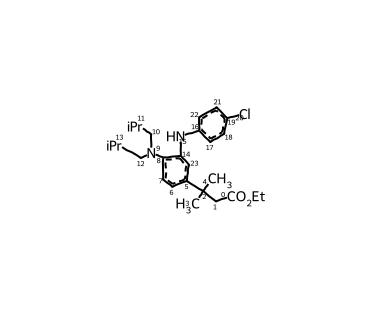 CCOC(=O)CC(C)(C)c1ccc(N(CC(C)C)CC(C)C)c(Nc2ccc(Cl)cc2)c1